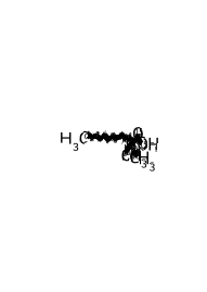 CCCCCCCCCCCCC(C(=O)O)N(CC)CC